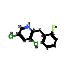 Fc1ccccc1Cc1ncc(Cl)[c]c1Cl